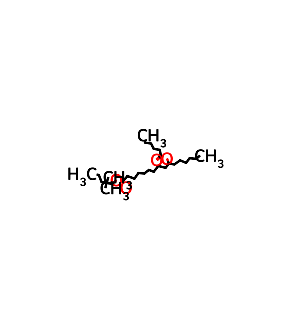 CCCCCCC(CCCCCCCCC(=O)OCC(C)(C)CCC)OC(=O)CCCCC